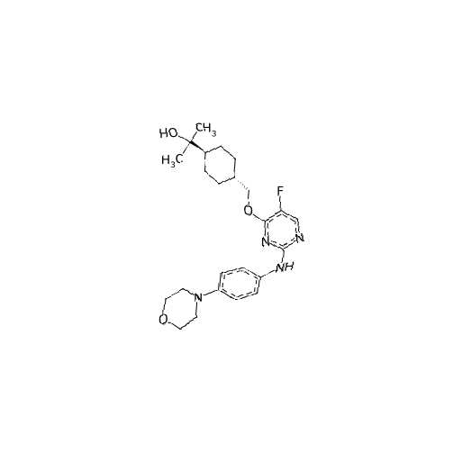 CC(C)(O)[C@H]1CC[C@H](COc2nc(Nc3ccc(N4CCOCC4)cc3)ncc2F)CC1